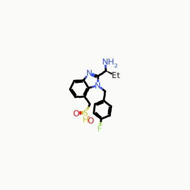 CC[C@H](N)c1nc2cccc(C[SH](=O)=O)c2n1Cc1ccc(F)cc1